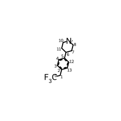 FC(F)(F)Cc1ccc(C2CC[N]CC2)cc1